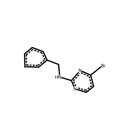 Brc1ccnc(NCc2ccccc2)n1